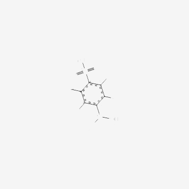 [2H]c1c([2H])c(S(=O)(=O)C(F)(F)F)c([2H])c([2H])c1B(O)O